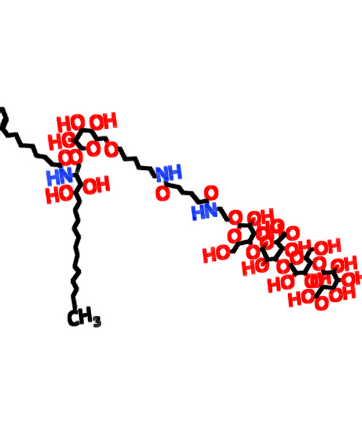 CCCCCCCCCCCCCC[C@@H](O)[C@@H](O)[C@H](COC1OC(COCCCCCCNC(=O)CCCCC(=O)NCCOC2OC(CO)C(OC3OC(C(=O)O)C(O)C(OC4OC(CO)C(OC5OC(C(=O)O)C(O)C(O)C5O)C(O)C4O)C3O)C(O)C2O)C(O)C(O)C1O)NC(=O)CCCCCCCc1ccc(F)cc1